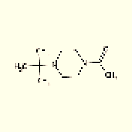 CC(=O)N1CCN(C(C)(C)C)CC1